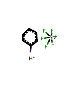 Ic1ccccc1.[F][Sb-]([F])([F])([F])([F])[F].[H+]